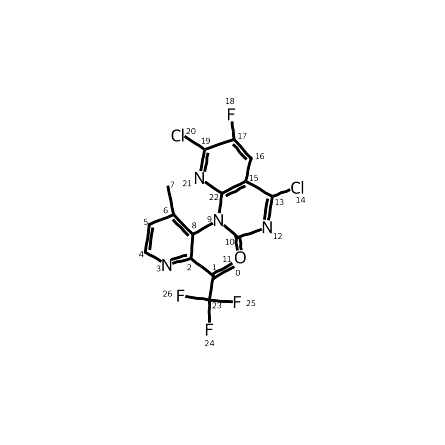 C=C(c1nccc(C)c1-n1c(=O)nc(Cl)c2cc(F)c(Cl)nc21)C(F)(F)F